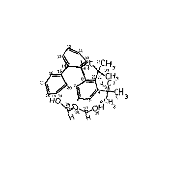 CC(C)(C)c1cccc(-c2ccccc2-c2ccccc2)c1C(C)(C)C.OPOPO